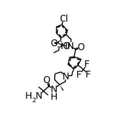 CCS(=O)(=O)c1ccc(Cl)cc1CNC(=O)c1ccc(CN2CCC[C@@](C)(NC(=O)C(C)(C)N)C2)c(C(F)(F)F)c1